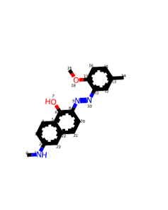 CNc1ccc2c(O)c(N=Nc3cc(C)ccc3OC)ccc2c1